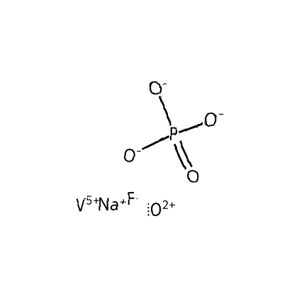 O=P([O-])([O-])[O-].[F].[Na+].[O+2].[V+5]